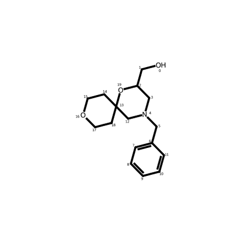 OCC1CN(Cc2ccccc2)CC2(CCOCC2)O1